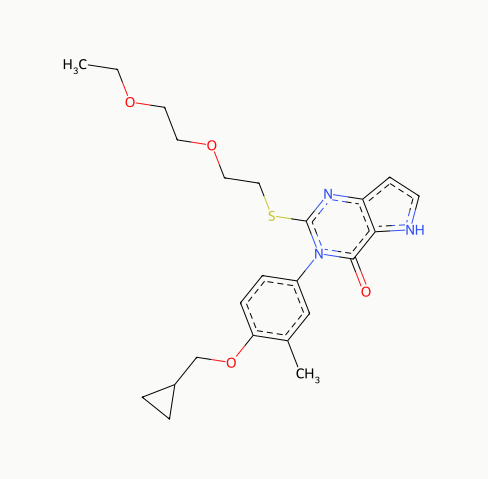 CCOCCOCCSc1nc2cc[nH]c2c(=O)n1-c1ccc(OCC2CC2)c(C)c1